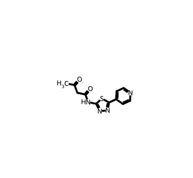 CC(=O)CC(=O)Nc1nnc(-c2ccncc2)s1